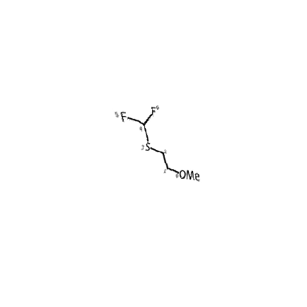 COCCSC(F)F